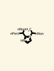 CCCCCCCCCC(CCCCC)c1[nH]cc[n+]1C(C)CCCCCCCCC